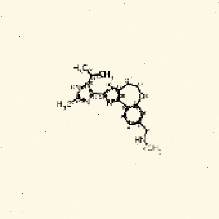 CNCc1ccc2c(c1)OCCc1sc(-c3nc(C)nn3C(C)C)nc1-2